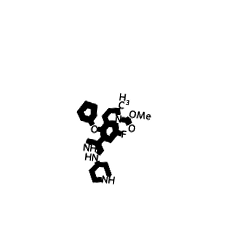 COC(=O)N1c2c(F)cc(/C(C=N)=C/NC3CCNCC3)c(Oc3ccccc3)c2CC[C@@H]1C